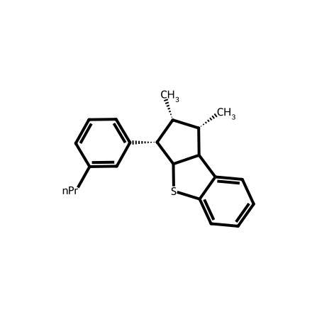 CCCc1cccc([C@H]2C3Sc4ccccc4C3[C@@H](C)[C@H]2C)c1